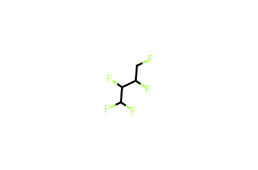 FCC(F)C(F)C(F)F